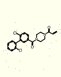 C=CC(=O)N1CCN(C(=O)c2ccc(Cl)c(-c3ccccc3Cl)c2)CC1